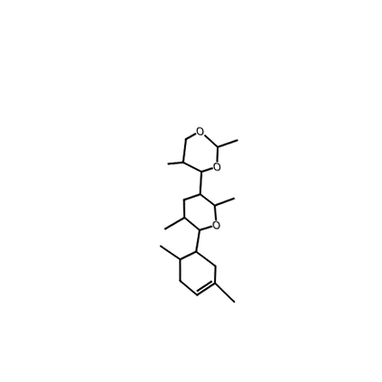 CC1=CCC(C)C(C2OC(C)C(C3OC(C)OCC3C)CC2C)C1